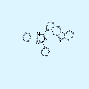 c1ccc(-c2nc(-c3ccccc3)nc(-c3cccc4cc5c(cc34)sc3ccccc35)n2)cc1